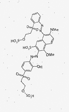 CNc1ccc2c(OC)c(/N=N/c3ccc(S(=O)(=O)CCOS(=O)(=O)O)cc3O)c(S(=O)(=O)O)cc2c1/N=N/c1ccccc1S(=O)(=O)CCOS(=O)(=O)O